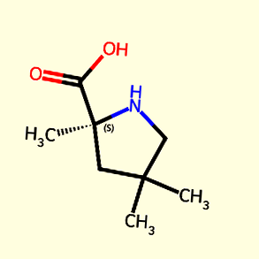 CC1(C)CN[C@](C)(C(=O)O)C1